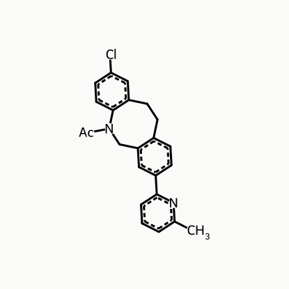 CC(=O)N1Cc2cc(-c3cccc(C)n3)ccc2CCc2cc(Cl)ccc21